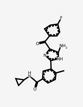 Cc1ccc(C(=O)NC2CC2)cc1-c1nc(C(=O)c2ccc(F)cc2)c(N)[nH]1